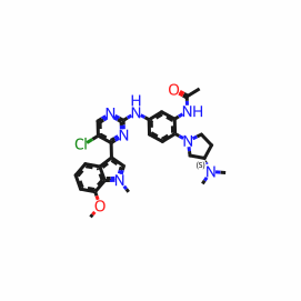 COc1cccc2c(-c3nc(Nc4ccc(N5CC[C@H](N(C)C)C5)c(NC(C)=O)c4)ncc3Cl)cn(C)c12